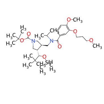 COCCCOc1cc(C(=O)N(C[C@@H]2CN(C(=O)OC(C)(C)C)C[C@H]2C(O[SiH](C)C)C(C)(C)C)C(C)C)ccc1OC